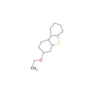 CCOC1CCC2C(C1)SC1CCCCC12